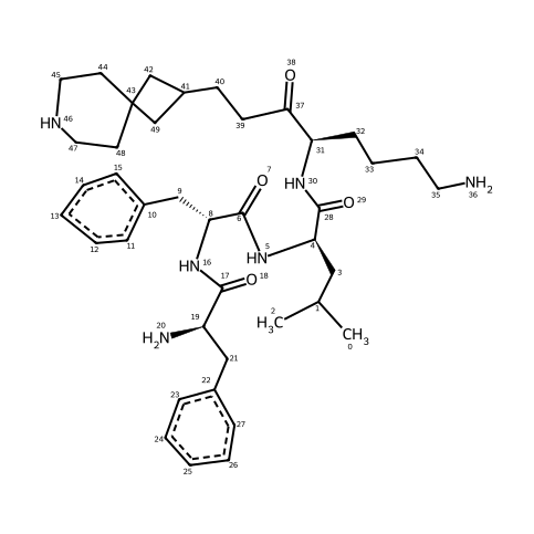 CC(C)C[C@@H](NC(=O)[C@@H](Cc1ccccc1)NC(=O)[C@H](N)Cc1ccccc1)C(=O)N[C@H](CCCCN)C(=O)CCC1CC2(CCNCC2)C1